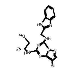 CC[C@H](CO)Nc1nc(NCc2nc3ccccc3[nH]2)n2ncc(Br)c2n1